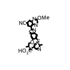 COc1cnc2c(-c3nc4cc(F)c(OCC(C)N(C(=O)O)c5cnc(C)nc5)cc4s3)cc(C#N)cc2n1